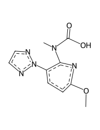 COc1ccc(-n2nccn2)c(N(C)C(=O)O)n1